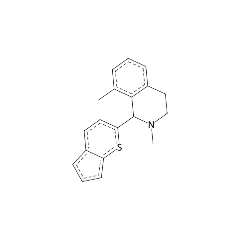 Cc1cccc2c1C(c1ccc3cccc-3s1)N(C)CC2